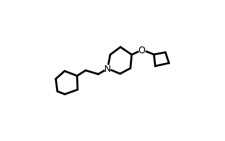 C1CCC(CCN2CCC(OC3CCC3)CC2)CC1